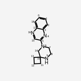 c1ccc2nc(N3CCNC4(CCC4)C3)cnc2c1